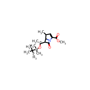 COC(=O)C1=CC(C)C2C([C@@H](C)O[Si](C)(C)C(C)(C)C)C(=O)N12